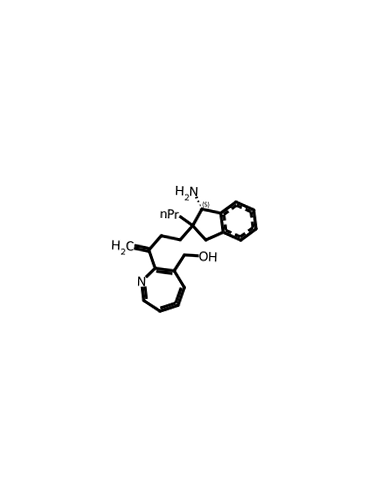 C=C(CCC1(CCC)Cc2ccccc2[C@H]1N)C1=C(CO)C=C=CC=N1